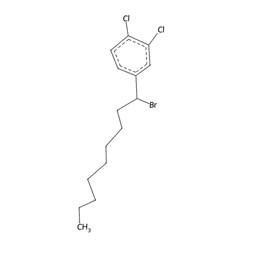 CCCCCCCCC(Br)c1ccc(Cl)c(Cl)c1